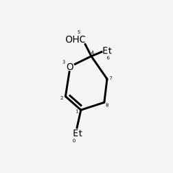 CCC1=COC(C=O)(CC)CC1